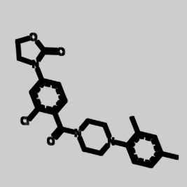 Cc1ccc(N2CCN(C(=O)c3ccc(N4CCOC4=O)cc3Cl)CC2)c(C)c1